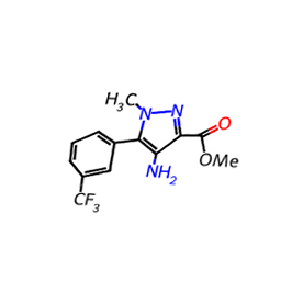 COC(=O)c1nn(C)c(-c2cccc(C(F)(F)F)c2)c1N